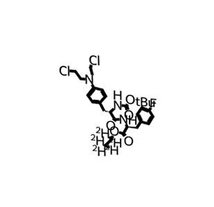 [2H]C([2H])([2H])C([2H])([2H])OC(=O)[C@H](Cc1ccc(F)cc1)NC(=O)[C@H](Cc1ccc(N(CCCl)CCCl)cc1)NC(=O)OC(C)(C)C